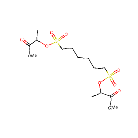 COC(=O)C(C)OS(=O)(=O)CCCCCCS(=O)(=O)OC(C)C(=O)OC